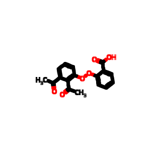 CC(=O)c1cccc(OOc2ccccc2C(=O)O)c1C(C)=O